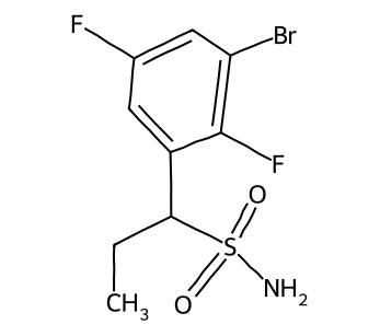 CCC(c1cc(F)cc(Br)c1F)S(N)(=O)=O